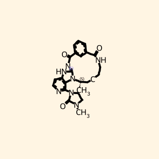 C[C@H]1CCCCNC(=O)c2cccc(c2)C(=O)/N=C2\Nc3ccnc(N4CCN(C)C4=O)c3N21